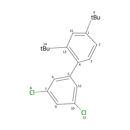 CC(C)(C)c1ccc(-c2cc(Cl)cc(Cl)c2)c(C(C)(C)C)c1